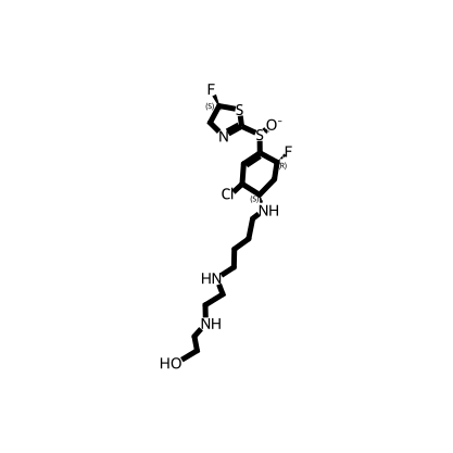 [O-][S+](C1=CC(Cl)[C@@H](NCCCCNCCNCCO)C[C@H]1F)C1=NC[C@@H](F)S1